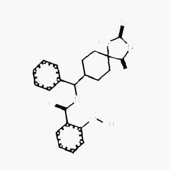 COc1ccccc1C(=O)NC(c1ccccc1)C1CCC2(CC1)NC(=O)NC2=O